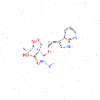 CCC(O)C1(C(=O)O)C(=O)/C(=C/c2c[nH]c3ncccc23)OC1NN(C)C